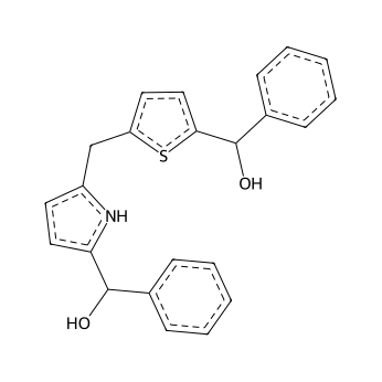 OC(c1ccccc1)c1ccc(Cc2ccc(C(O)c3ccccc3)s2)[nH]1